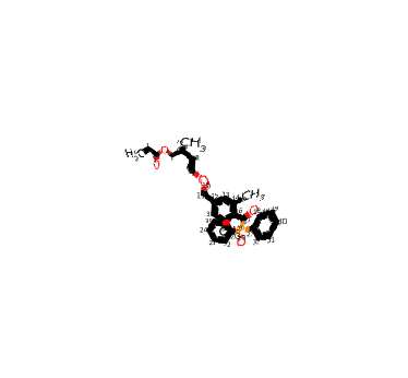 C=CC(=O)OCC(C)CCOCc1cc(C)c(C(=O)P(=O)(c2ccccc2)c2ccccc2)c(C)c1